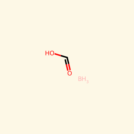 B.O=CO